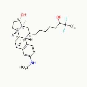 C=C[C@@]12CCc3cc(NS(=O)(=O)O)ccc3[C@H]1[C@@H](CCCCCC(O)C(F)(F)C(F)(F)F)C[C@@]1(C)[C@H]2CC[C@@H]1O